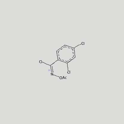 CC(=O)O/N=C(/Cl)c1ccc(Cl)cc1Cl